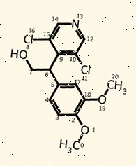 COc1ccc(C(CO)c2c(Cl)cncc2Cl)cc1OC